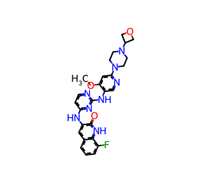 COc1cc(N2CCN(C3COC3)CC2)ncc1Nc1nccc(Nc2cc3cccc(F)c3[nH]c2=O)n1